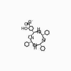 O=[N+]([O-])c1ccc(-c2c3nc(c(-c4ccccc4)c4ccc([nH]4)c(-c4ccccc4)c4nc(c(-c5ccccc5)c5ccc2[nH]5)C=C4)C=C3)cc1O